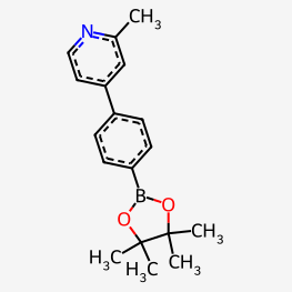 Cc1cc(-c2ccc(B3OC(C)(C)C(C)(C)O3)cc2)ccn1